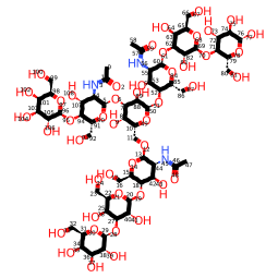 CC(=O)N[C@H]1[C@H](O[C@H]2[C@@H](O)[C@@H](CO[C@@H]3O[C@H](CO)[C@@H](O[C@@H]4O[C@H](CO)[C@H](O)[C@H](O[C@H]5O[C@H](CO)[C@H](O)[C@H](O)[C@H]5O)[C@H]4O)[C@H](O)[C@H]3NC(C)=O)O[C@@H](O[C@H]3[C@H](O)[C@@H](NC(C)=O)[C@H](O[C@H]4[C@@H](O)[C@@H](CO)O[C@@H](O[C@H]5[C@H](O)[C@@H](O)[C@H](O)O[C@@H]5CO)[C@@H]4O)O[C@@H]3CO)[C@@H]2O)O[C@H](CO)[C@@H](O[C@@H]2O[C@H](CO)[C@H](O)[C@H](O)[C@H]2O)[C@@H]1O